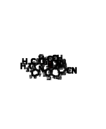 CC1(C)c2ccccc2N(c2ccc3c(c2)C2(c4ccccc4C(C)(C)c4ccccc42)c2c(N)cc(C#N)cc2CC3)c2ccccc21